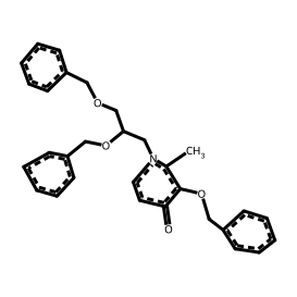 Cc1c(OCc2ccccc2)c(=O)ccn1CC(COCc1ccccc1)OCc1ccccc1